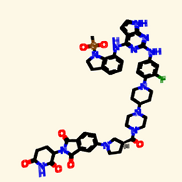 CS(=O)(=O)N1CCc2cccc(Nc3nc(Nc4ccc(N5CCC(N6CCN(C(=O)[C@H]7CCN(c8ccc9c(c8)C(=O)N(C8CCC(=O)NC8=O)C9=O)C7)CC6)CC5)c(F)c4)nc4[nH]ccc34)c21